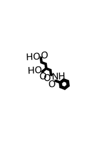 O=C(O)CCC(CC(=O)NC(=O)c1ccccc1)C(=O)O